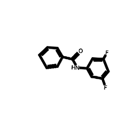 O=C(Nc1cc(F)cc(F)c1)c1ccccc1